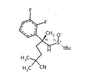 CC(C)(C#N)CC[C@@](C)(N[S@+]([O-])C(C)(C)C)c1cccc(F)c1F